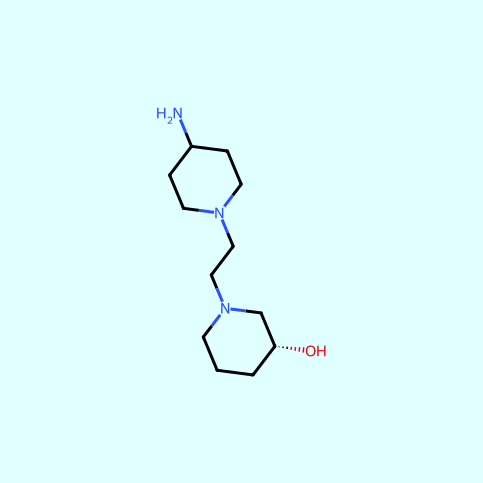 NC1CCN(CCN2CCC[C@@H](O)C2)CC1